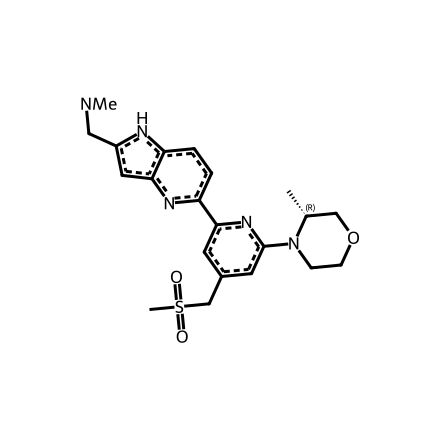 CNCc1cc2nc(-c3cc(CS(C)(=O)=O)cc(N4CCOC[C@H]4C)n3)ccc2[nH]1